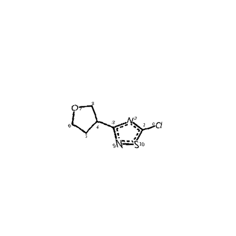 Clc1nc(C2CCOC2)ns1